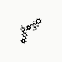 CCC(=O)N[C@H](Cc1ccc(CNC(=O)[C@@H](NC(=O)OC(C)(C)C)C2CCCCCC2)cc1)C(=O)N1CCN(Cc2ccccc2)CC1